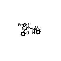 O=C(NCCNc1cc(-c2ccccc2Cl)nc2c(Br)cnn12)c1ccccc1Cl